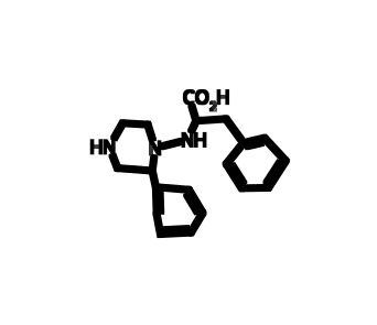 O=C(O)C(Cc1ccccc1)NN1CCNCC1c1ccccc1